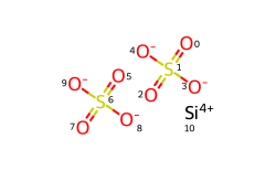 O=S(=O)([O-])[O-].O=S(=O)([O-])[O-].[Si+4]